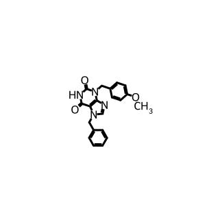 COc1ccc(Cn2c(=O)[nH]c(=O)c3c2ncn3Cc2ccccc2)cc1